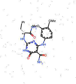 COc1ccc(Nc2nc(N[C@H](CC(C)C)C(N)=O)[nH]c(=O)c2C(N)=O)cc1OC